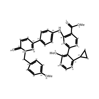 COC(=O)c1cnc(-c2c(OC)ncnc2C2CC2)nc1Nc1ccc(-c2ccc(=O)n(Cc3ccc(OC)cc3)n2)cc1